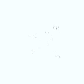 CCC(=O)OCC1(c2cc(C)cc(Cl)c2)CCC(=O)CC1